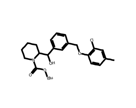 Cc1ccc(OCc2cccc(C(O)C3CCCCN3C(=O)OC(C)(C)C)c2)c(Cl)c1